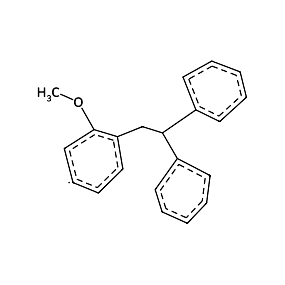 COc1c[c]ccc1CC(c1ccccc1)c1ccccc1